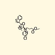 C=C(N(CCCC(=O)OCC)c1ccc(Cl)cn1)C1(C)CCN1C(=O)c1csc2ccccc12